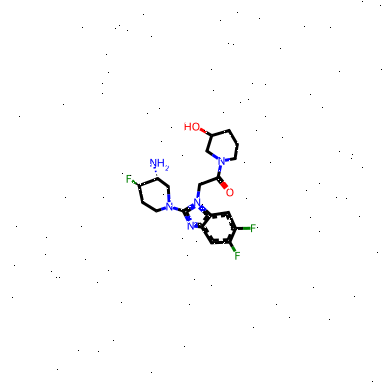 N[C@@H]1CN(c2nc3cc(F)c(F)cc3n2CC(=O)N2CCCC(O)C2)CC[C@H]1F